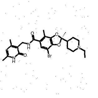 CCN1CCC([C@@]2(C)Oc3c(Br)cc(C(=O)NCc4c(C)cc(C)[nH]c4=O)c(C)c3O2)CC1